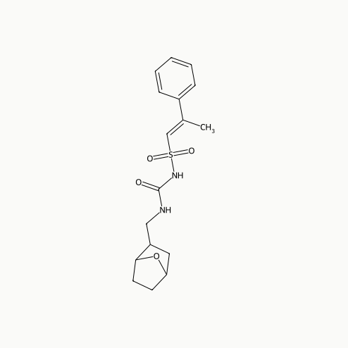 C/C(=C\S(=O)(=O)NC(=O)NCC1CC2CCC1O2)c1ccccc1